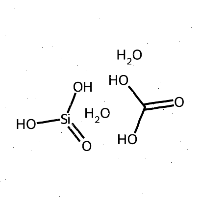 O.O.O=C(O)O.O=[Si](O)O